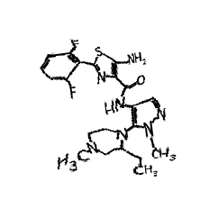 CC[C@H]1CN(C)CCN1c1c(NC(=O)c2nc(-c3c(F)cccc3F)sc2N)cnn1C